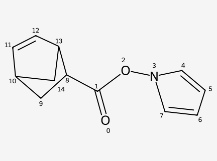 O=C(On1cccc1)C1CC2C=CC1C2